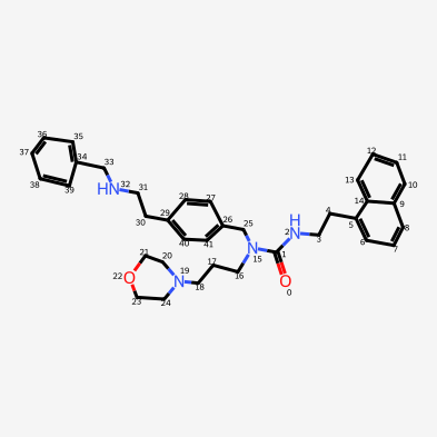 O=C(NCCc1cccc2ccccc12)N(CCCN1CCOCC1)Cc1ccc(CCNCc2ccccc2)cc1